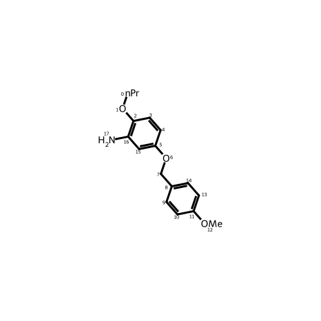 CCCOc1ccc(OCc2ccc(OC)cc2)cc1N